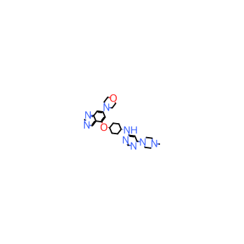 CN1CCN(c2cc(N[C@H]3CC[C@@H](Oc4cc(N5CCOCC5)cc5ncncc45)CC3)ncn2)CC1